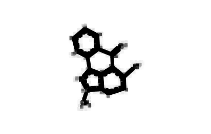 Cn1nc2c3c(c(Cl)ccc31)C(=O)c1cccnc1-2